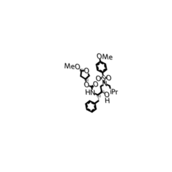 COc1ccc(S(=O)(=O)N(CC(C)C)C[C@H](O)[C@H](Cc2ccccc2)NC(=O)O[C@@H]2CO[C@H](OC)C2)cc1